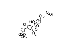 Cc1cc(-c2cccc(S(C)(=O)=O)c2)c(Cl)cc1C1=C(O)C2(CCN(C(=O)CCCC(=O)O)CC2)OC1=O